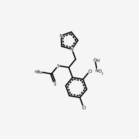 CCCCC(=S)SC(Cn1ccnc1)c1ccc(Cl)cc1Cl.O=[N+]([O-])O